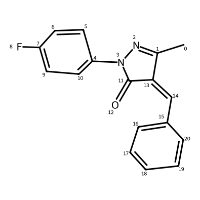 CC1=NN(c2ccc(F)cc2)C(=O)C1=Cc1ccccc1